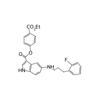 CCOC(=O)c1ccc(OC(=O)c2c[nH]c3ccc(NCCCc4ccccc4F)cc23)cc1